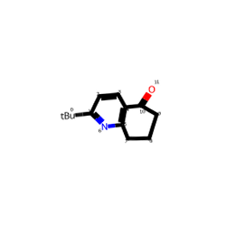 CC(C)(C)c1ccc2c(n1)CCCC2=O